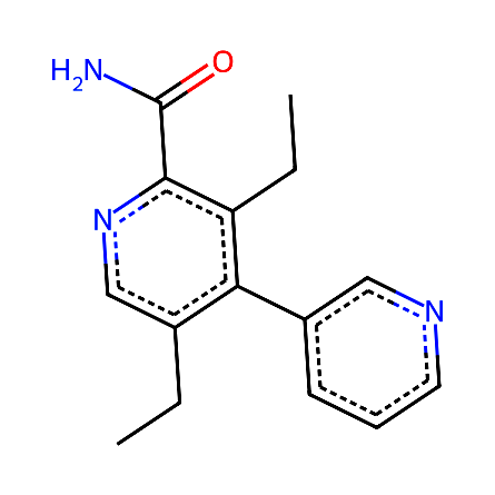 CCc1cnc(C(N)=O)c(CC)c1-c1cccnc1